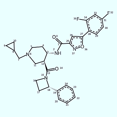 O=C(N[C@H]1CCN(CC2CC2)C[C@@H]1C(=O)N1CC[C@H]1c1ccccc1)c1cc(-c2ccc(F)cc2F)on1